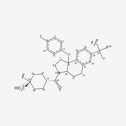 Cc1ccc(CC23CCN(C(=O)[C@H]4CC[C@](F)(C(=O)O)CC4)C2CCc2cc(C(C)(F)C(F)(F)F)ccc23)cc1